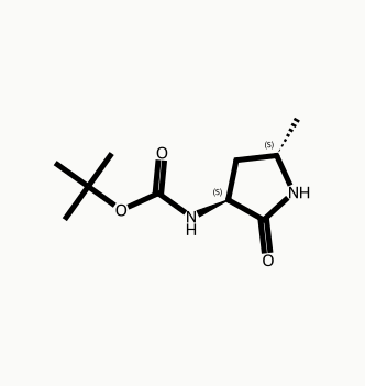 C[C@H]1C[C@H](NC(=O)OC(C)(C)C)C(=O)N1